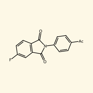 CC(=O)c1ccc(N2C(=O)c3ccc(F)cc3C2=O)cc1